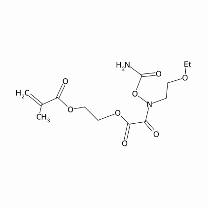 C=C(C)C(=O)OCCOC(=O)C(=O)N(CCOCC)OC(N)=O